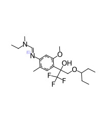 CCC(CC)OCC(O)(c1cc(C)c(/N=C/N(C)CC)cc1OC)C(F)(F)F